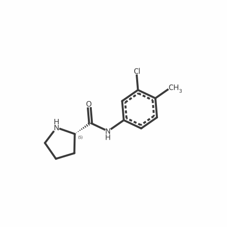 Cc1ccc(NC(=O)[C@@H]2CCCN2)cc1Cl